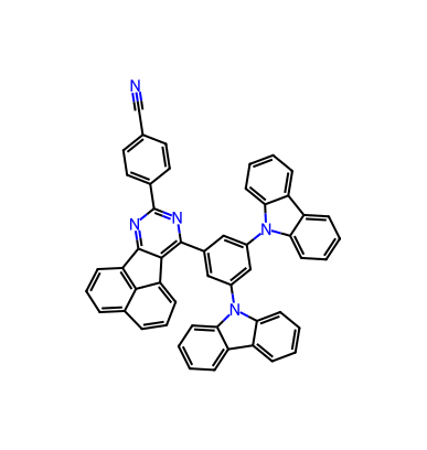 N#Cc1ccc(-c2nc(-c3cc(-n4c5ccccc5c5ccccc54)cc(-n4c5ccccc5c5ccccc54)c3)c3c(n2)-c2cccc4cccc-3c24)cc1